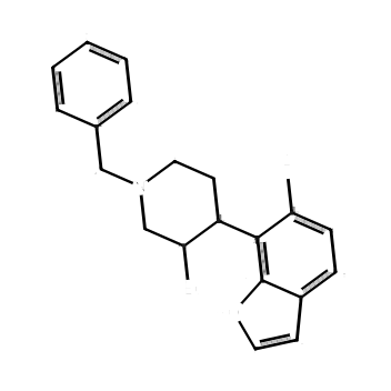 CCC1CN(Cc2ccccc2)CCC1c1c(F)ccc2ccoc12